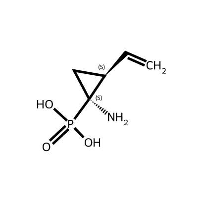 C=C[C@@H]1C[C@]1(N)P(=O)(O)O